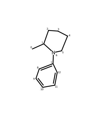 CC1CCCCN1c1cc[c]cc1